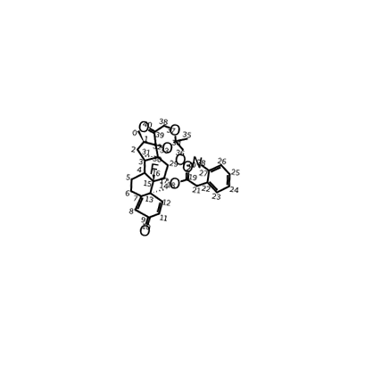 C[C@@H]1CC2C3CCC4=CC(=O)C=C[C@]4(C)[C@@]3(F)[C@@H](OC(=O)Cc3ccccc3[N+](=O)[O-])C[C@]2(C)[C@]12OC(C)(C)OCC2=O